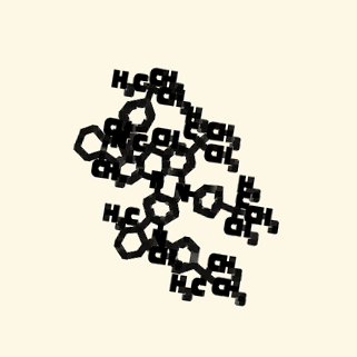 CC(C)(C)c1ccc(N2c3cc4c(cc3B3c5ccc6c(c5C(C)(C)c5cc(C(C)(C)C)cc2c53)N(c2ccc(C(C)(C)C)cc2)C2(C)CCCCC62C)C2(C)CCCCC2(C)N4c2ccc(C(C)(C)C)cc2)cc1